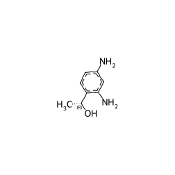 C[C@@H](O)c1ccc(N)cc1N